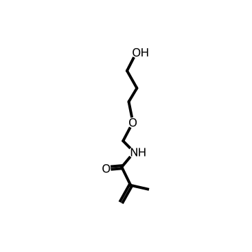 C=C(C)C(=O)NCOCCCO